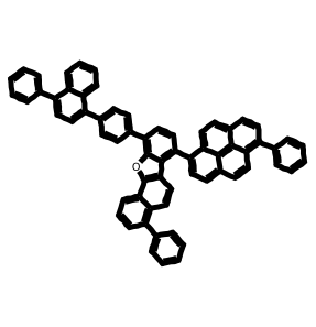 c1ccc(-c2ccc(-c3ccc(-c4ccc(-c5ccc6ccc7c(-c8ccccc8)ccc8ccc5c6c87)c5c4oc4c6cccc(-c7ccccc7)c6ccc45)cc3)c3ccccc23)cc1